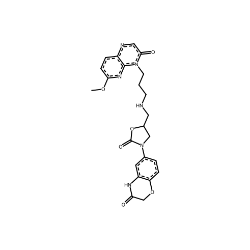 COc1ccc2ncc(=O)n(CCCNCC3CN(c4ccc5c(c4)NC(=O)CO5)C(=O)O3)c2n1